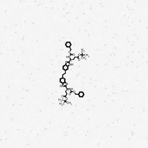 CC(C)(C)OC(=O)CC[C@H](NC(=O)OCc1ccccc1)c1nc2cc(CCc3ccc4nc([C@H](CCC(=O)OC(C)(C)C)NC(=O)OCc5ccccc5)[nH]c4c3)ccc2[nH]1